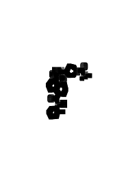 Cc1ccccc1NC(=O)c1cccc2c(S(=O)(=O)NC3CCN(C(=O)N(C)C)CC3)cccc12